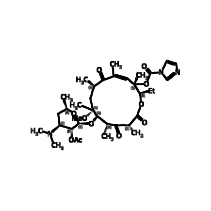 CC[C@H]1OC(=O)[C@H](C)C(=O)[C@H](C)[C@@H](O[C@@H]2O[C@H](C)C[C@H](N(C)C)[C@H]2OC(C)=O)[C@](C)(OC)C[C@@H](C)C(=O)C(C)=C[C@]1(C)OC(=O)n1ccnc1